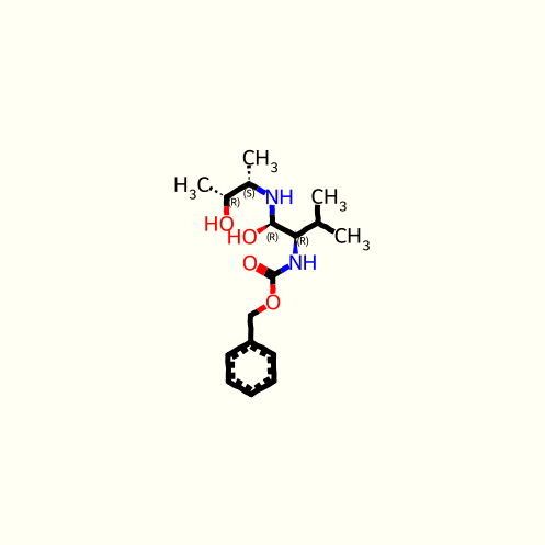 CC(C)[C@@H](NC(=O)OCc1ccccc1)[C@@H](O)N[C@@H](C)[C@@H](C)O